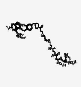 CCCCCNc1nc(N)nc2ccn(Cc3ccc(CN4CCN(C(=O)CCOCCOCCNC(=O)CCNC(=O)C[C@H](SC[C@H](N)C(=O)O)C(=O)O)CC4)cc3OC)c12